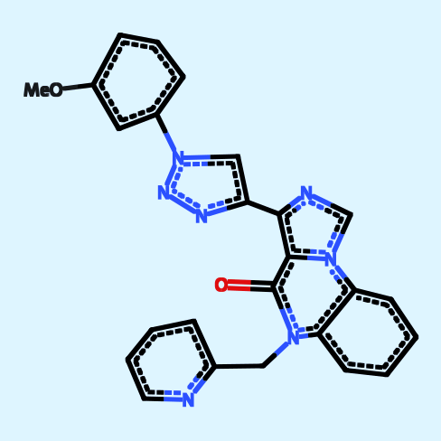 COc1cccc(-n2cc(-c3ncn4c3c(=O)n(Cc3ccccn3)c3ccccc34)nn2)c1